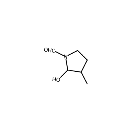 CC1CCN(C=O)C1O